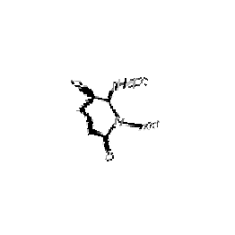 CCCCCCCCN1C(=O)CCC(=O)C1CCCCCCC